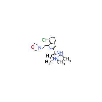 C=NN(C)/C(=C\C)N[C@@H](C)c1cc2cccc(Cl)c2c(CCN2CCOCC2)n1